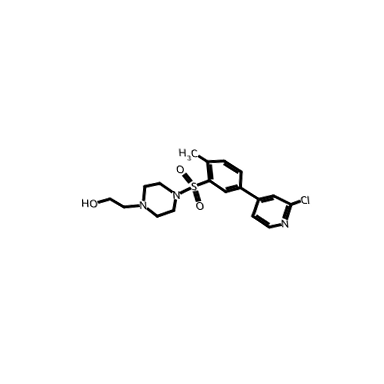 Cc1ccc(-c2ccnc(Cl)c2)cc1S(=O)(=O)N1CCN(CCO)CC1